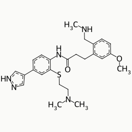 CNCc1ccc(OC)cc1CCC(=O)Nc1ccc(-c2cn[nH]c2)cc1SCCN(C)C